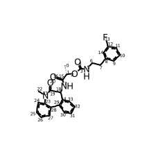 C[C@H](OC(=O)NCCc1cccc(F)c1)C(=O)NC1C(=O)N(C)c2ccccc2-c2ccccc21